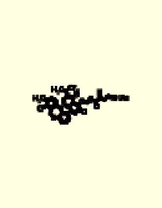 CC(=O)NCCNC(=O)OCOc1c2n(ccc1=O)N([C@H]1C3=C(CSc4ccccc41)C(Cl)C(C)C=C3)CN([C@H](C)C(F)(F)F)C2=O